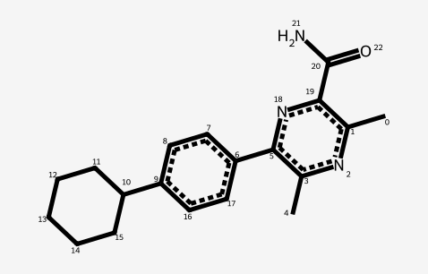 Cc1nc(C)c(-c2ccc(C3CCCCC3)cc2)nc1C(N)=O